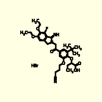 Br.CCOc1cc2c(c(F)c1OCC)C(=N)N(CC(=O)c1cc(OCCCC#N)c(OC(CC)C(=O)O)c(C(C)(C)C)c1)C2